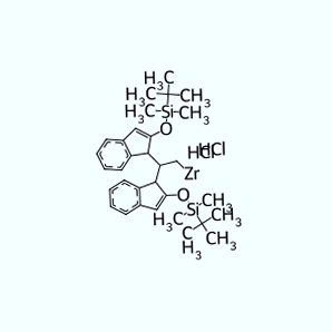 CC(C)(C)[Si](C)(C)OC1=Cc2ccccc2C1C([CH2][Zr])C1C(O[Si](C)(C)C(C)(C)C)=Cc2ccccc21.Cl.Cl